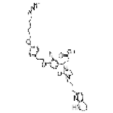 [N-]=[N+]=NCCCCCOc1ccc(CCOc2ccc(C(CC(=O)O)N3CCN(CCCc4ccc5c(n4)NCCC5)C3=O)cc2F)cc1